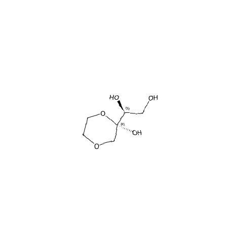 OC[C@H](O)[C@@]1(O)COCCO1